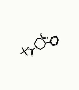 CC(C)(C)OC(=O)N1CCC(c2ccccc2)S(=O)(=O)CC1